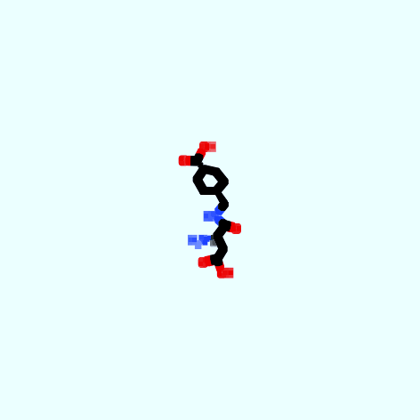 N[C@@H](CC(=O)O)C(=O)NC[C@H]1CC[C@H](C(=O)O)CC1